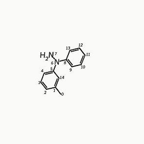 Cc1cccc(N(N)c2ccccc2)c1